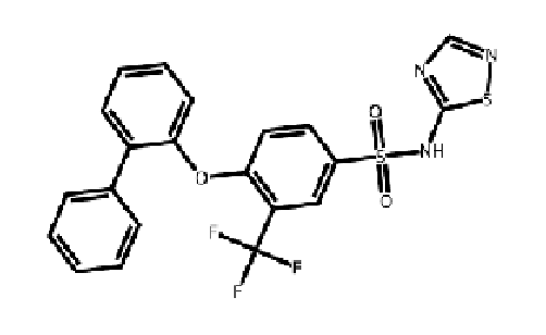 O=S(=O)(Nc1ncns1)c1ccc(Oc2ccccc2-c2ccccc2)c(C(F)(F)F)c1